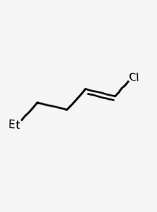 [CH2]CCCC=CCl